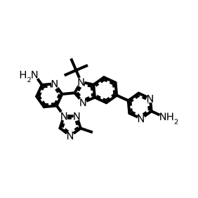 Cc1ncn(-c2ccc(N)nc2-c2nc3cc(-c4cnc(N)nc4)ccc3n2C(C)(C)C)n1